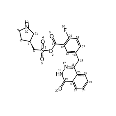 O=C(OS(=O)(=O)C[C@H]1CCNC1)c1cc(Cc2n[nH]c(=O)c3ccccc23)ccc1F